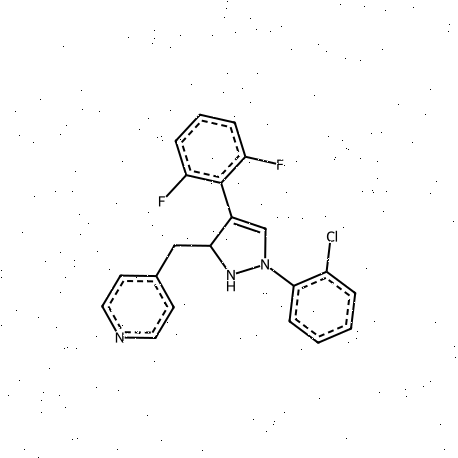 Fc1cccc(F)c1C1=CN(c2ccccc2Cl)NC1Cc1ccncc1